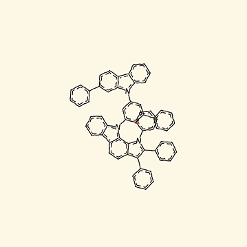 c1ccc(-c2cc(-n3c4ccccc4c4ccc(-c5ccccc5)cc43)cc(-n3c4ccccc4c4ccc5c(-c6ccccc6)c(-c6ccccc6)n(-c6ccccc6)c5c43)c2)cc1